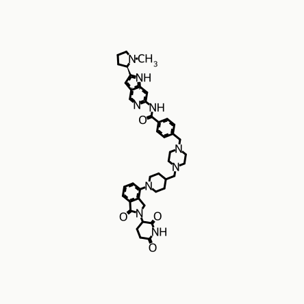 CN1CCC[C@@H]1c1cc2cnc(NC(=O)c3ccc(CN4CCN(CC5CCN(c6cccc7c6CN(C6CCC(=O)NC6=O)C7=O)CC5)CC4)cc3)cc2[nH]1